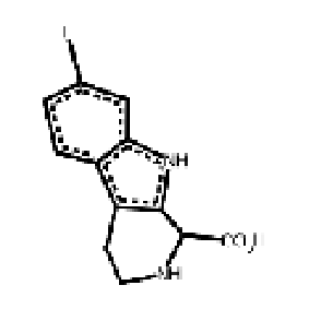 O=C(O)C1NCCc2c1[nH]c1cc(F)ccc21